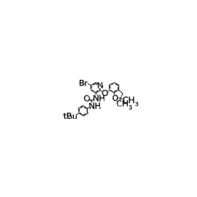 CC1(C)Cc2cccc(Oc3ncc(Br)cc3NC(=O)Nc3ccc(C(C)(C)C)cc3)c2O1